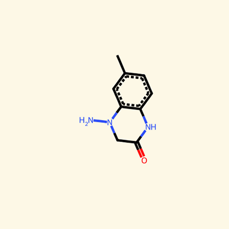 Cc1ccc2c(c1)N(N)CC(=O)N2